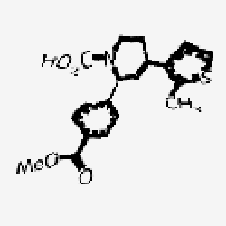 COC(=O)c1ccc([C@@H]2C=C(c3ccsc3C)CCN2C(=O)O)cc1